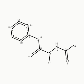 [CH2]C(NC(C)=O)C(=S)Sc1ccccn1